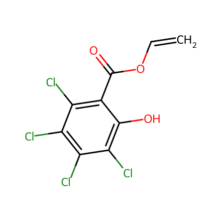 C=COC(=O)c1c(O)c(Cl)c(Cl)c(Cl)c1Cl